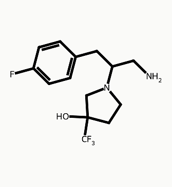 NCC(Cc1ccc(F)cc1)N1CCC(O)(C(F)(F)F)C1